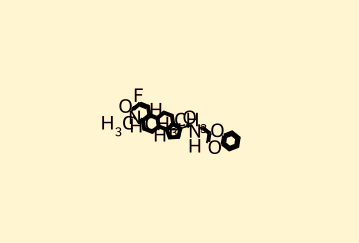 CN1C(=O)C(F)=C[C@]2(C)[C@H]3CC[C@]4(C)[C@@H](C(=O)NCC5COc6ccccc6O5)CC[C@H]4[C@@H]3CC[C@@H]12